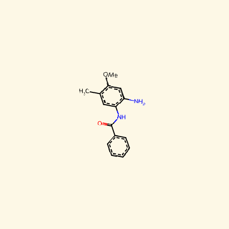 COc1cc(N)c(NC(=O)c2ccccc2)cc1C